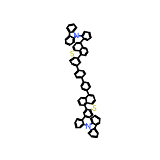 c1ccc(-n2c3ccccc3c3ccccc32)c(-c2ccc3c(c2)-c2cccc4c(-c5ccc(-c6ccc(-c7ccc8c(c7)-c7cccc9c(-c%10ccccc%10-n%10c%11ccccc%11c%11ccccc%11%10)ccc(c79)S8)cc6)cc5)ccc(c24)S3)c1